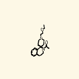 CCOCCN1CCC2(CC1)c1ccccc1CCN2C(C)=O